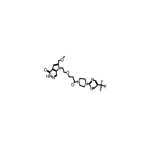 COCc1cc2c(=O)[nH]ncc2n1CCOCCC(=O)N1CCN(c2ncc(C(F)(F)F)cn2)CC1